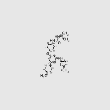 Cc1cnc(Nc2nc(Sc3ccc(NC(=O)NC(C)C)cc3)nc(N3CCN(C)CC3)n2)s1